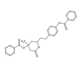 CC1(OC(=O)c2ccccc2)CC(=O)OC(CCc2ccc(OC(=O)c3ccccc3)cc2)C1